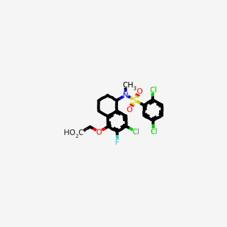 CN(C1CCCc2c1cc(Cl)c(F)c2OCC(=O)O)S(=O)(=O)c1cc(Cl)ccc1Cl